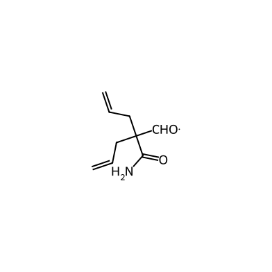 C=CCC([C]=O)(CC=C)C(N)=O